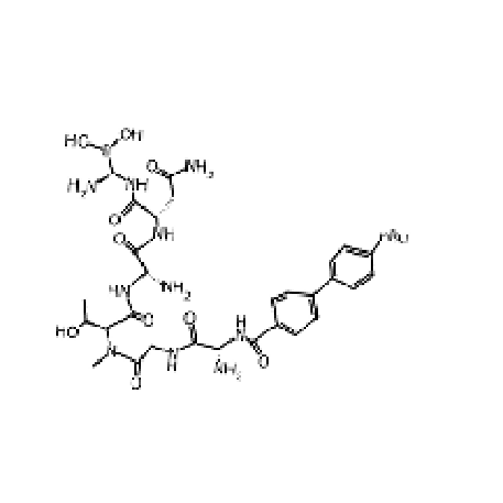 CCCCc1ccc(-c2ccc(C(=O)N[C@H](N)C(=O)NCC(=O)N(C)[C@H](C(=O)N[C@@H](N)C(=O)N[C@@H](CC(N)=O)C(=O)N[C@@H](N)B(O)O)C(C)O)cc2)cc1